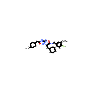 CCCC1CCC(CC(=O)N=C(N)NC(CC2CCCCC2)C(=O)NCc2ccc(F)c(OC)c2)CC1